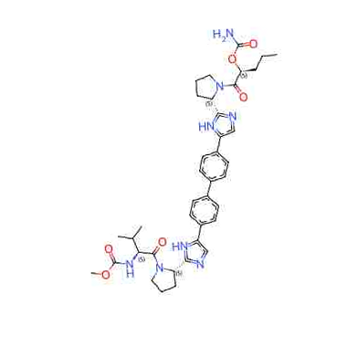 CCC[C@H](OC(N)=O)C(=O)N1CCC[C@H]1c1ncc(-c2ccc(-c3ccc(-c4cnc([C@@H]5CCCN5C(=O)[C@@H](NC(=O)OC)C(C)C)[nH]4)cc3)cc2)[nH]1